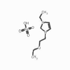 CCOCCN1C=CN(CC)C1.[O]=[Re](=[O])(=[O])[OH]